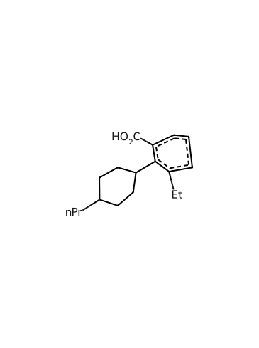 CCCC1CCC(c2c(CC)cccc2C(=O)O)CC1